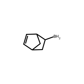 BC1CC2C=CC1C2